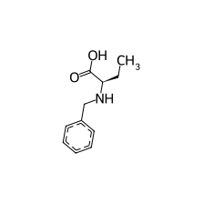 CC[C@@H](NCc1ccccc1)C(=O)O